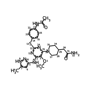 COc1c(Nc2cc(C)[nH]n2)nc(Sc2ccc(NC(C)=O)cc2)nc1N1CCC(CC(N)=O)CC1